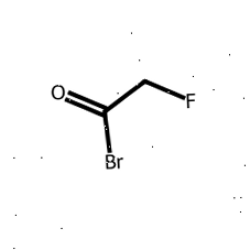 O=C(Br)CF